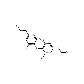 Clc1cc(CCBr)cc(Cl)c1Oc1c(Cl)cc(CCBr)cc1Cl